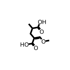 COC=C(CC(C)C(=O)O)C(=O)O